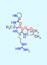 CC(C)C[C@H](NC(=O)[C@H](CCCNC(=N)N)NC(=O)[C@H](C)NC(=O)[C@@H]1CCCN1)C(=O)O